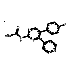 CCCCC(=O)Nc1ncc(-c2ccc(F)cc2)c(-c2ccncc2)n1